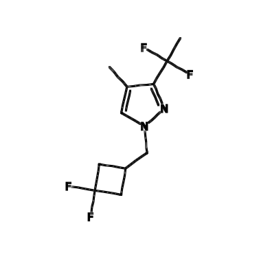 Cc1cn(CC2CC(F)(F)C2)nc1C(C)(F)F